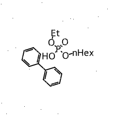 CCCCCCOP(=O)(O)OCC.c1ccc(-c2ccccc2)cc1